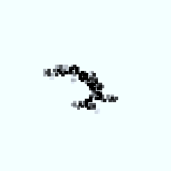 CN[C@@H]1C[C@@H](c2cc3cn(-c4ccc([C@@H]5CCC[C@@H](CCSC(=N)N)N5)cc4)c(=O)nc3[nH]2)N(CCC[C@@H](C)N)C1